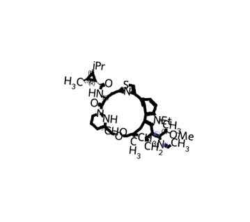 C=C/C(=C(\N=C/C)[C@H](C)OC)c1c2c3cc(ccc3n1CC)-c1csc(n1)C[C@H](NC(=O)[C@@H]1[C@@H](C)[C@H]1C(C)C)C(=O)N1CCC[C@](C=O)(COCC(C)(C)C2)N1